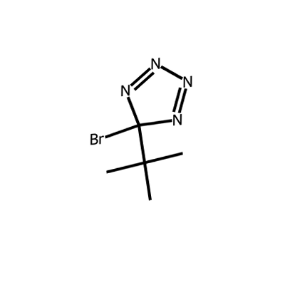 CC(C)(C)C1(Br)N=NN=N1